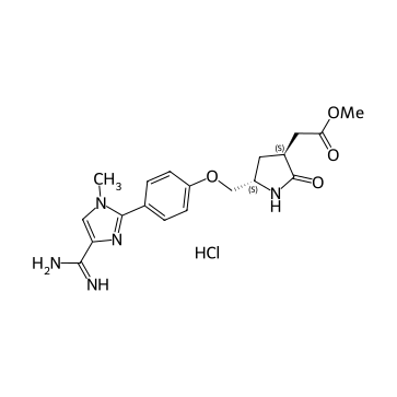 COC(=O)C[C@@H]1C[C@@H](COc2ccc(-c3nc(C(=N)N)cn3C)cc2)NC1=O.Cl